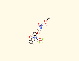 CCCCOC(=O)CNC(=O)N1CCC(Oc2cccc(NC(=O)c3cccc(C)c3-c3ccc(OC(F)(F)F)cc3)c2)CC1